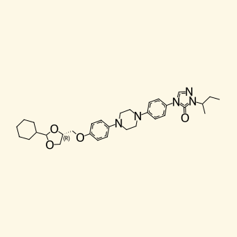 CCC(C)n1ncn(-c2ccc(N3CCN(c4ccc(OC[C@@H]5COC(C6CCCCC6)O5)cc4)CC3)cc2)c1=O